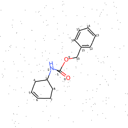 O=C(NC1CC=CCC1)OCc1ccccc1